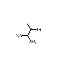 CC(S)C(N)N